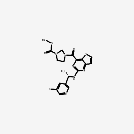 C[C@H](Nc1nc(C(=O)N2CCN(C(=O)OC(C)(C)C)C2)c2sccc2n1)c1cncc(F)c1